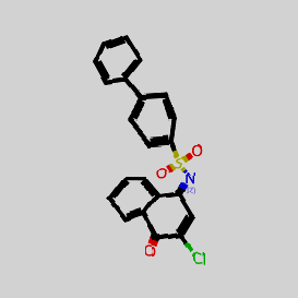 O=C1C(Cl)=C/C(=N/S(=O)(=O)c2ccc(-c3ccccc3)cc2)c2ccccc21